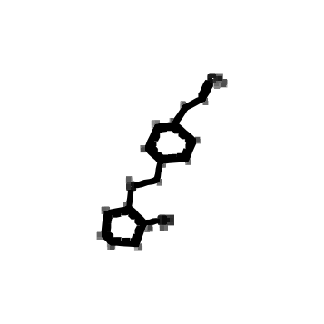 C=CCc1ccc(COc2ccccc2O)cc1